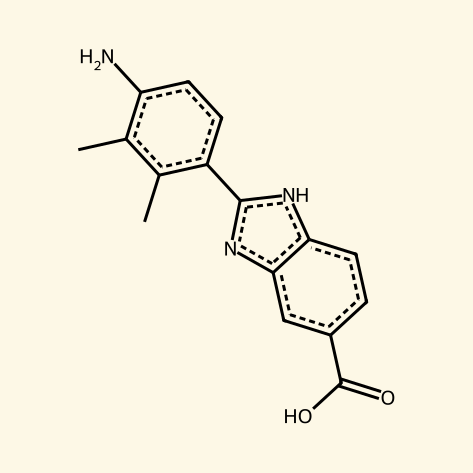 Cc1c(N)ccc(-c2nc3cc(C(=O)O)ccc3[nH]2)c1C